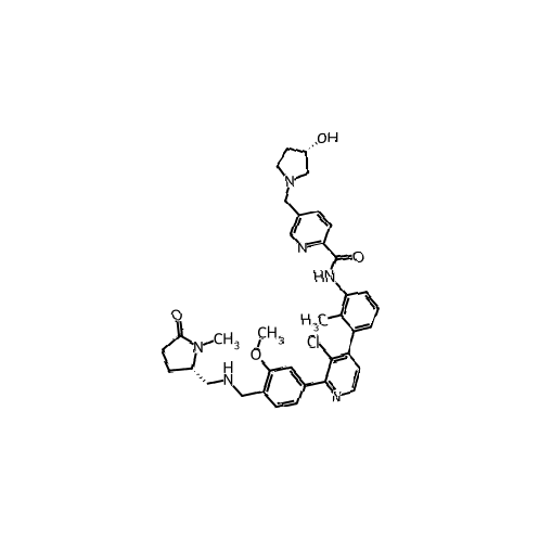 COc1cc(-c2nccc(-c3cccc(NC(=O)c4ccc(CN5CC[C@H](O)C5)cn4)c3C)c2Cl)ccc1CNC[C@@H]1CCC(=O)N1C